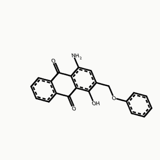 Nc1cc(COc2ccccc2)c(O)c2c1C(=O)c1ccccc1C2=O